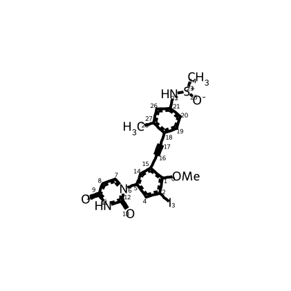 COc1c(I)cc(-n2ccc(=O)[nH]c2=O)cc1C#Cc1ccc(N[S+](C)[O-])cc1C